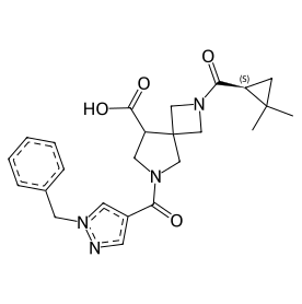 CC1(C)C[C@@H]1C(=O)N1CC2(CN(C(=O)c3cnn(Cc4ccccc4)c3)CC2C(=O)O)C1